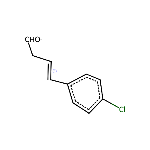 O=[C]C/C=C/c1ccc(Cl)cc1